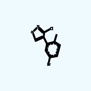 Cc1ccc(Br)cc1C1=C[N]N=C1Cl